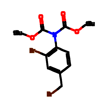 CC(C)(C)OC(=O)N(C(=O)OC(C)(C)C)c1ccc(CBr)cc1Br